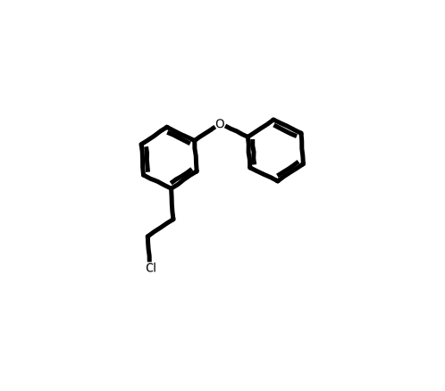 ClCCc1cccc(Oc2ccccc2)c1